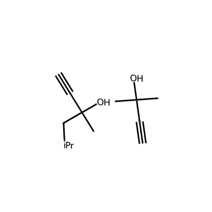 C#CC(C)(C)O.C#CC(C)(O)CC(C)C